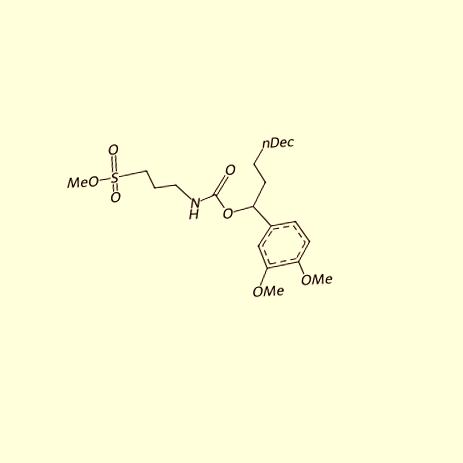 CCCCCCCCCCCCC(OC(=O)NCCCS(=O)(=O)OC)c1ccc(OC)c(OC)c1